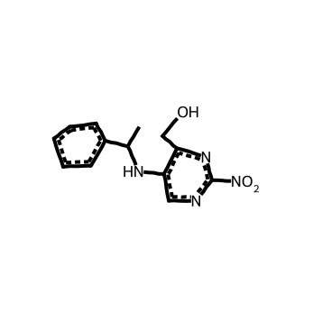 CC(Nc1cnc([N+](=O)[O-])nc1CO)c1ccccc1